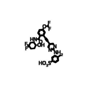 Cc1ccc(S(=O)(=O)O)cc1.Nc1ncc(C#Cc2cc(OC(F)F)ccc2C(=O)N[C@H]2CC(F)(F)CC[C@@H]2O)cn1